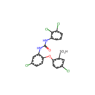 O=C(Nc1cc(Cl)ccc1Oc1ccc(Cl)cc1S(=O)(=O)O)Nc1cccc(Cl)c1Cl